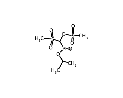 CC(C)O[PH](=O)C(OS(C)(=O)=O)S(C)(=O)=O